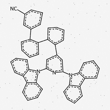 N#Cc1cccc(-c2ccccc2-c2ccccc2-c2cc(-n3c4ccccc4c4ccccc43)nc(-n3c4ccccc4c4ccccc43)c2)c1